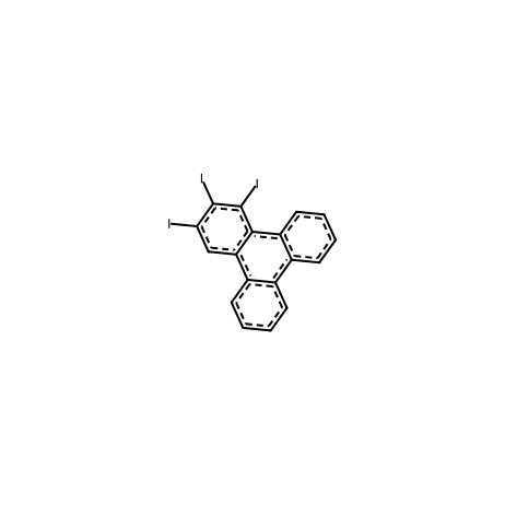 Ic1cc2c3ccccc3c3ccccc3c2c(I)c1I